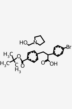 CC(C)(C)OC(=O)c1ccc(CC(C(=O)O)c2ccc(Br)cc2)cc1.OCN1CCCC1